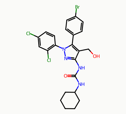 O=C(Nc1nn(-c2ccc(Cl)cc2Cl)c(-c2ccc(Br)cc2)c1CO)NC1CCCCC1